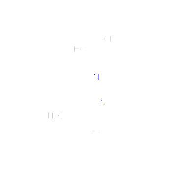 CCC1CN(c2nc(C(C)O)cs2)CCO1